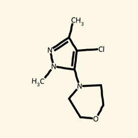 Cc1nn(C)c(N2CCOCC2)c1Cl